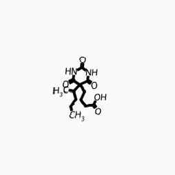 CCCC(C)C1(CCCC(=O)O)C(=O)NC(=O)NC1=O